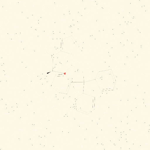 CN(c1nccs1)[C@@H](CCSC(c1ccccc1)(c1ccccc1)c1ccccc1)C(=O)O